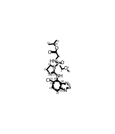 COCP(=O)(NCC(=O)OC(C)C)N1CCN=C1Nc1c(Cl)ccc2nsnc12